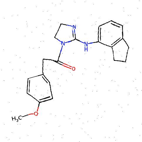 COc1ccc(CC(=O)N2CCN=C2Nc2cccc3c2CCC3)cc1